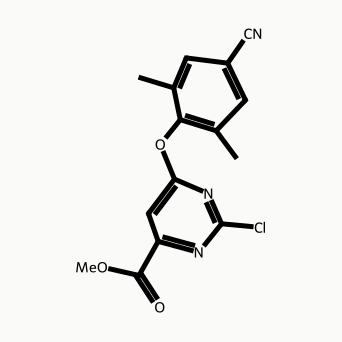 COC(=O)c1cc(Oc2c(C)cc(C#N)cc2C)nc(Cl)n1